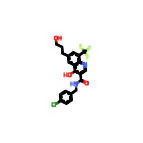 O=C(NCc1ccc(Cl)cc1)c1cnc2c(C(F)(F)F)cc(CCCO)cc2c1O